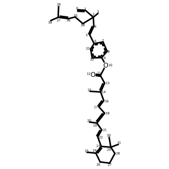 C=CC(C)(/C=C/c1ccc(OC(=O)/C=C(C)/C=C/C=C(C)/C=C/C2=C(C)CCCC2(C)C)cc1)CCC=C(C)C